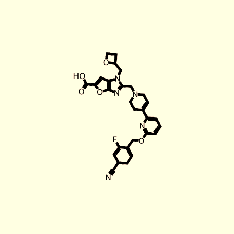 N#CC1C=C(F)C(COc2cccc(C3=CCN(Cc4nc5oc(C(=O)O)cc5n4CC4CCO4)CC3)n2)=CC1